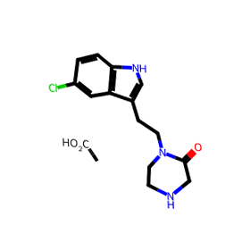 CC(=O)O.O=C1CNCCN1CCc1c[nH]c2ccc(Cl)cc12